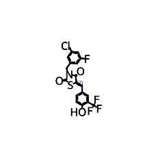 O=C1S/C(=C\c2ccc(O)c(C(F)(F)F)c2)C(=O)N1Cc1cc(F)cc(Cl)c1